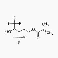 C=C(C)C(=O)OCCC(C(O)C(F)(F)F)C(F)(F)F